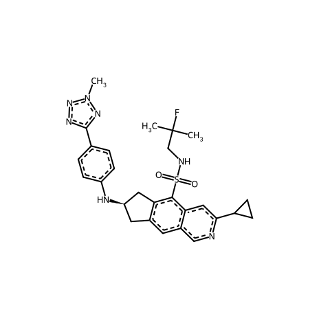 Cn1nnc(-c2ccc(N[C@@H]3Cc4cc5cnc(C6CC6)cc5c(S(=O)(=O)NCC(C)(C)F)c4C3)cc2)n1